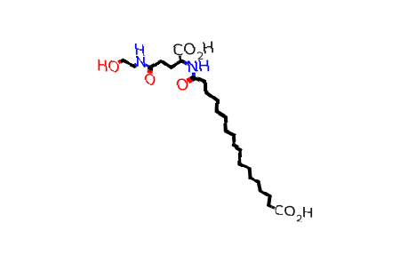 O=C(O)CCCCCCCCCCCCCCCCC(=O)N[C@@H](CCC(=O)NCCO)C(=O)O